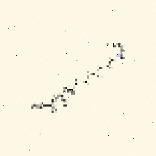 CCCCCCCC/C=C\CCCCCCCCOC(=O)OC(=O)OC(C)=O